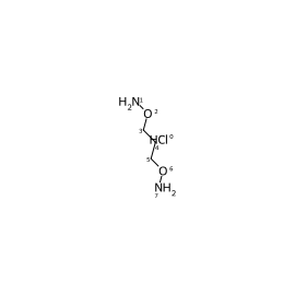 Cl.NOCCCON